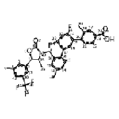 Cc1cc([C@H]2OC(=O)N(Cc3cc(C)ccc3-c3cc(-c4ccc(C(=O)O)cc4C)c(F)cc3F)[C@H]2C)cc(C(F)(F)F)c1